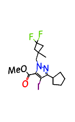 COC(=O)c1c(I)c(C2CCCC2)nn1CC1(C)CC(F)(F)C1